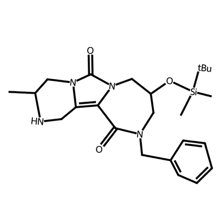 CC1Cn2c(c3n(c2=O)CC(O[Si](C)(C)C(C)(C)C)CN(Cc2ccccc2)C3=O)CN1